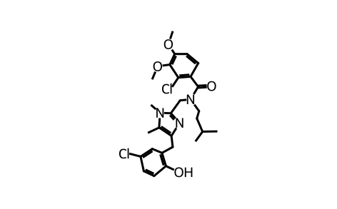 COc1ccc(C(=O)N(CCC(C)C)Cc2nc(Cc3cc(Cl)ccc3O)c(C)n2C)c(Cl)c1OC